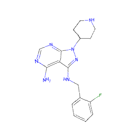 Nc1ncnc2c1c(NCc1ccccc1F)nn2C1CCNCC1